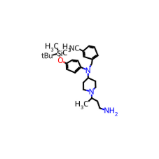 CC(CCN)N1CCC(N(Cc2cccc(C#N)c2)c2ccc(O[Si](C)(C)C(C)(C)C)cc2)CC1